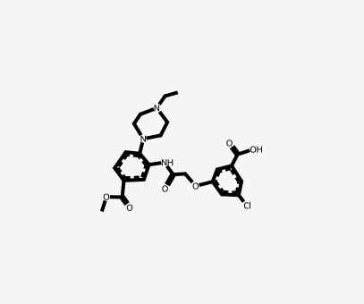 CCN1CCN(c2ccc(C(=O)OC)cc2NC(=O)COc2cc(Cl)cc(C(=O)O)c2)CC1